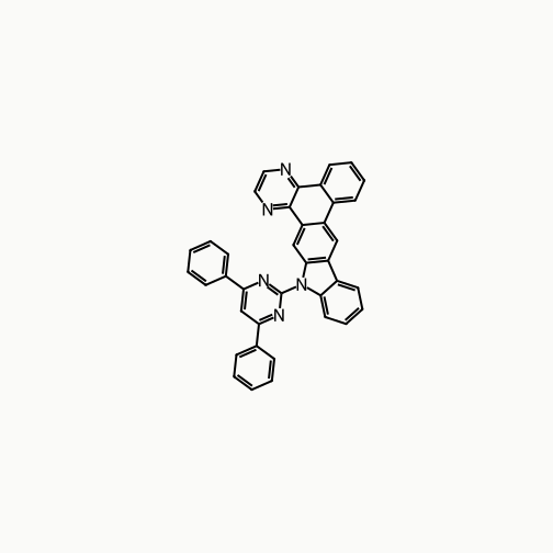 c1ccc(-c2cc(-c3ccccc3)nc(-n3c4ccccc4c4cc5c6ccccc6c6nccnc6c5cc43)n2)cc1